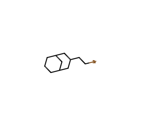 BrCCC1CC2CCCC(C1)C2